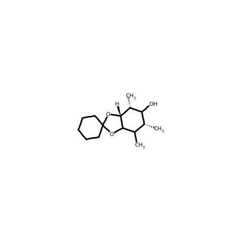 CC1C2OC3(CCCCC3)O[C@@H]2[C@H](C)C(O)[C@@H]1C